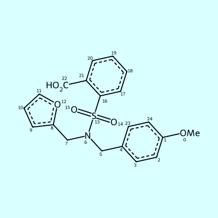 COc1ccc(CN(Cc2ccco2)S(=O)(=O)c2ccccc2C(=O)O)cc1